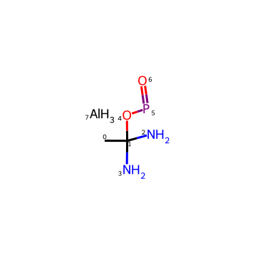 CC(N)(N)OP=O.[AlH3]